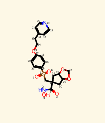 O=C(NO)C1(CS(=O)(=O)c2ccc(OCCc3ccncc3)cc2)CC2OCOC2C1